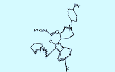 CNC(=O)Oc1c(CN2CCCC2)c2cc(F)ccc2n1C1CCN(C2CCC(C(C)C)CC2)CC1